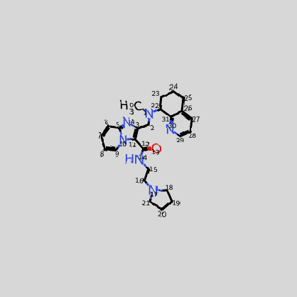 CN(Cc1nc2ccccn2c1C(=O)NCCN1CCCC1)C1CCCc2cccnc21